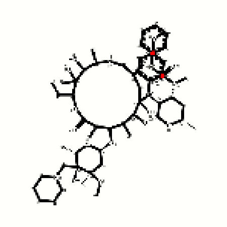 CCC1OC(=O)C(C)C(O[C@H]2C[C@@](C)(OC)[C@](O)(CN3CCCCC3)[C@H](C)O2)C(C)C(O[C@H]2O[C@@H](C)C[C@@H](N(C)S(=O)(=O)Nc3ccccc3)[C@@H]2Oc2ccc(OC)cc2)C(C)(O)CC(C)CNC(C)C(O)C1(C)O